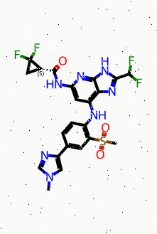 Cn1cnc(-c2ccc(Nc3cc(NC(=O)[C@@H]4CC4(F)F)nc4[nH]c(C(F)F)nc34)c(S(C)(=O)=O)c2)c1